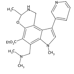 CCOC(=O)c1c2c(c3c(-c4cccnc4)cn(C)c3c1CN(C)C)CNC(C)O2